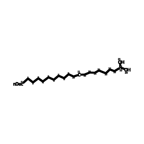 CCCCCCCCCCCCCCCCCCCCCCCCCCCCN(O)O